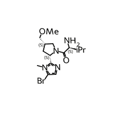 COC[C@H]1C[C@@H](c2ncc(Br)n2C)N(C(=O)[C@@H](N)C(C)C)C1